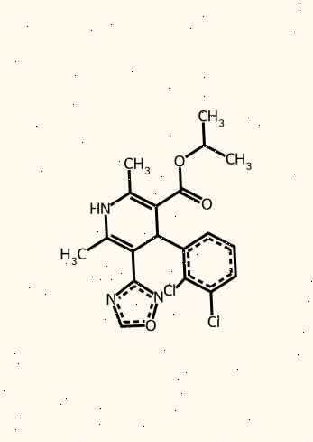 CC1=C(C(=O)OC(C)C)C(c2cccc(Cl)c2Cl)C(c2ncon2)=C(C)N1